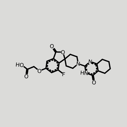 O=C(O)COc1cc(F)c2c(c1)C(=O)OC21CCN(c2nc3c(c(=O)[nH]2)CCCC3)CC1